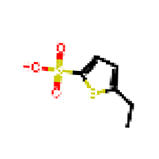 CCc1ccc(S(=O)(=O)O)s1